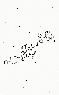 C=C(C)C(=O)OCCOC(=O)C(OC(=O)C1CCC(=O)CC1)(C(F)(F)F)C(F)(F)F